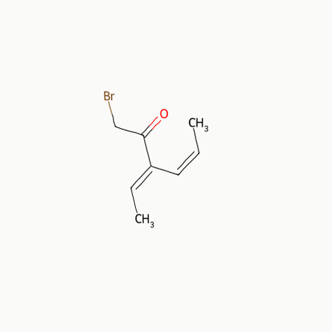 C/C=C\C(=C/C)C(=O)CBr